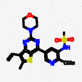 C=Cc1c(C)sc2c(-c3cnc(OC)c(NS(C)(=O)=O)c3)nc(N3CCOCC3)nc12